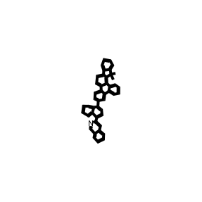 CC1(C)c2ccccc2-c2ccc3c4ccc(-c5ccc(-c6cc7ccccc7cn6)c6ccccc56)cc4c4ccccc4c3c21